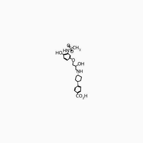 CS(=O)(=O)Nc1cc(OC[C@@H](O)CN[C@H]2CC[C@H](c3ccc(C(=O)O)cc3)CC2)ccc1O